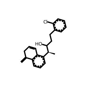 C=C1CC=Cc2c1cccc2[C@H](C)C(O)CCc1ccccc1Cl